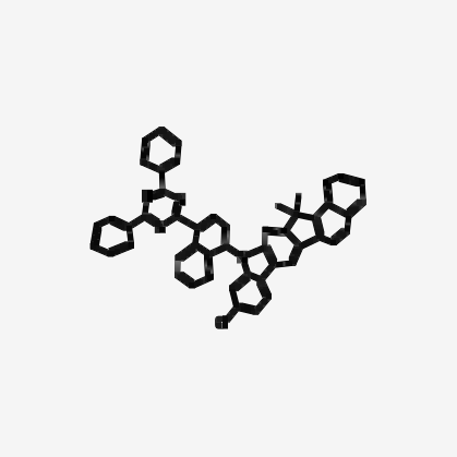 CC1(C)c2cc3c(cc2-c2ccc4ccccc4c21)c1ccc(Cl)cc1n3-c1ccc(-c2nc(-c3ccccc3)nc(-c3ccccc3)n2)c2ccccc12